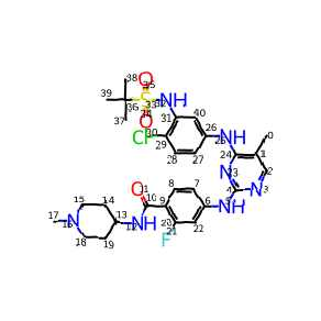 Cc1cnc(Nc2ccc(C(=O)NC3CCN(C)CC3)c(F)c2)nc1Nc1ccc(Cl)c(NS(=O)(=O)C(C)(C)C)c1